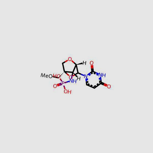 COC[C@@]12CO[C@H](C(n3ccc(=O)[nH]c3=O)O1)[C@@H]2NP(=O)(O)O